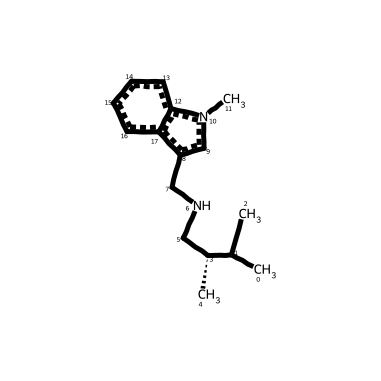 CC(C)[C@H](C)CNCc1cn(C)c2ccccc12